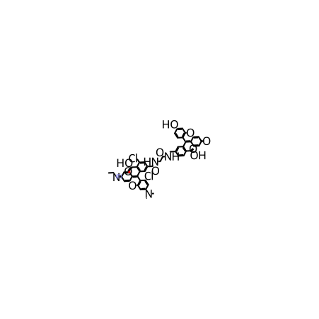 CC/N=c1\ccc2c(-c3c(Cl)c(C(=O)NCC(=O)NCc4ccc(C(=O)O)c(-c5c6ccc(=O)cc-6oc6cc(O)ccc56)c4)cc(Cl)c3C(=O)O)c3ccc(N(C)C)cc3oc-2c1